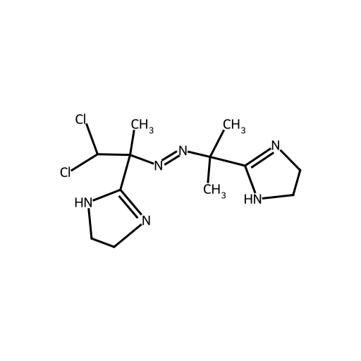 CC(C)(N=NC(C)(C1=NCCN1)C(Cl)Cl)C1=NCCN1